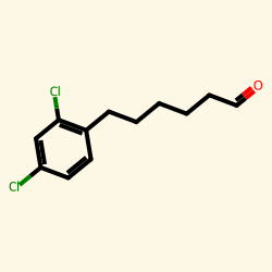 O=CCCCCCc1ccc(Cl)cc1Cl